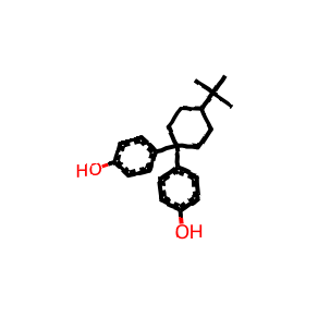 CC(C)(C)C1CCC(c2ccc(O)cc2)(c2ccc(O)cc2)CC1